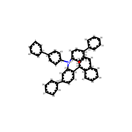 c1ccc(-c2ccc(N(c3ccc(-c4ccccc4)cc3)c3cc(-c4ccccc4)ccc3-c3cccc4ccccc34)cc2)cc1